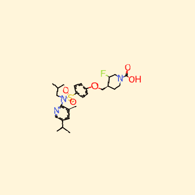 Cc1cc(C(C)C)cnc1N(CC(C)C)S(=O)(=O)c1ccc(OC[C@@H]2CCN(C(=O)O)C[C@@H]2F)cc1